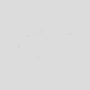 CCCCCc1ccc([PH](=O)C(=O)c2c(OC)cccc2OC)c(CCCCC)c1